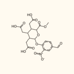 COC(=O)C1OC(Oc2ccc(C=O)cc2[N+](=O)[O-])C(CC(=O)O)C(CC(=O)O)C1CC(=O)O